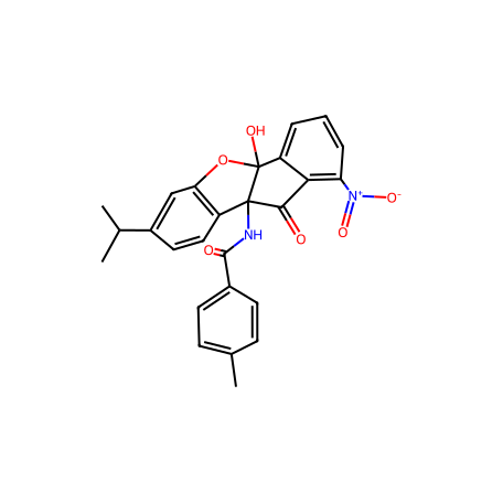 Cc1ccc(C(=O)NC23C(=O)c4c([N+](=O)[O-])cccc4C2(O)Oc2cc(C(C)C)ccc23)cc1